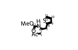 COC(=O)N[C@@H](CC(C)=O)Cc1cccs1